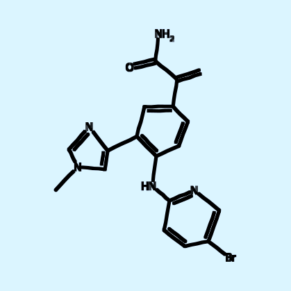 C=C(C(N)=O)c1ccc(Nc2ccc(Br)cn2)c(-c2cn(C)cn2)c1